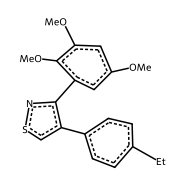 CCc1ccc(-c2csnc2-c2cc(OC)cc(OC)c2OC)cc1